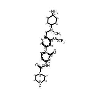 CN(Cc1ccc(-n2ccc(NC(=O)N3CCNCC3)nc2=O)cc1OC(F)(F)F)C1CCC(N)CC1